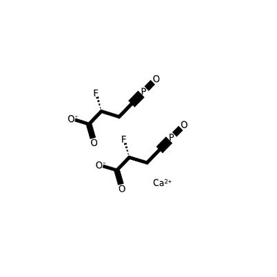 O=P#CC[C@@H](F)C(=O)[O-].O=P#CC[C@@H](F)C(=O)[O-].[Ca+2]